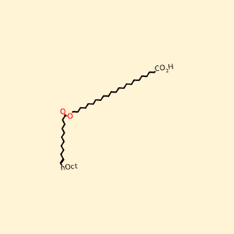 CCCCCCCCC=CCCCCCCCCCC(=O)OCCCCCCCCCCCCCCCCCCCCCCC(=O)O